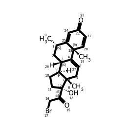 C[C@H]1C[C@@H]2C(=CC[C@@]3(C)[C@H]2CC[C@]3(O)C(=O)CBr)[C@@]2(C)C=CC(=O)C=C12